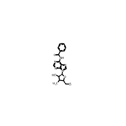 CC1C(CCl)OC(n2cnc3c(NC(=O)c4ccccc4)ncnc32)C1O